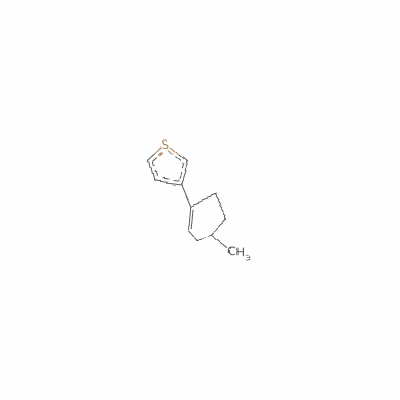 CC1CC=C(c2ccsc2)CC1